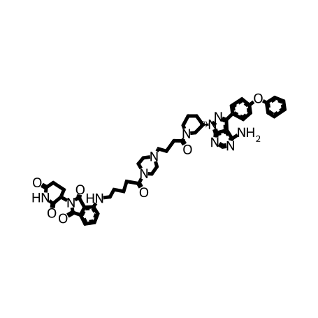 Nc1ncnc2c1c(-c1ccc(Oc3ccccc3)cc1)nn2[C@@H]1CCCN(C(=O)CCCN2CCN(C(=O)CCCCNc3cccc4c3C(=O)N(C3CCC(=O)NC3=O)C4=O)CC2)C1